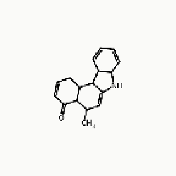 CC1C=C2NC3C=CC=CC3C2C2CC=CC(=O)C12